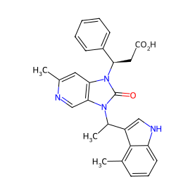 Cc1cc2c(cn1)n(C(C)c1c[nH]c3cccc(C)c13)c(=O)n2[C@H](CC(=O)O)c1ccccc1